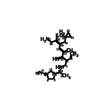 C=CC(CNN(C)N1CCN(CCC)C1)C(=N)/C(C)=C/C(CC1(C)CC1)=C(/F)CN